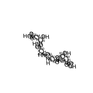 Cc1cc(S(=O)(=O)Nc2ccc(O)c3ccc(S(=O)(=O)O)cc23)ccc1NC(=O)Nc1ccc(S(=O)(=O)Nc2ccc(O)c3ccc(S(=O)(=O)O)cc23)cc1C